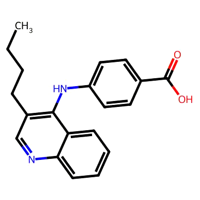 CCCCc1cnc2ccccc2c1Nc1ccc(C(=O)O)cc1